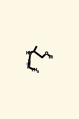 CCOCC(C)N/B=N/P